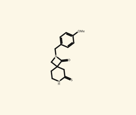 COc1ccc(CN2CC3(CCNC(=S)C3)C2=O)cc1